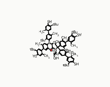 Cc1cc(S)c(C(C)(C)C)cc1-c1cc(C(C)(C)C)c(N(C(=O)C(=O)N(CCO)C(CO)(c2cc(C)c(-c3cc(C(C)(C)C)c(S)cc3C)cc2C(C)(C)C)c2cc(C)c(-c3cc(C(C)(C)C)c(S)cc3C)cc2C(C)(C)C)c2cc(C)c(-c3cc(C(C)(C)C)c(S)cc3C)cc2C(C)(C)C)cc1C